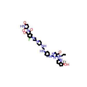 C=CCn1c(=O)c2cnc(Nc3ccc(NCCNC4CCN(C5CN(c6cc7c(cc6F)C(=O)N(C6CCC(=O)NC6=O)C7=O)C5)CC4)cc3)nc2n1-c1ccc2c(n1)[C@@](O)(CC)CC2